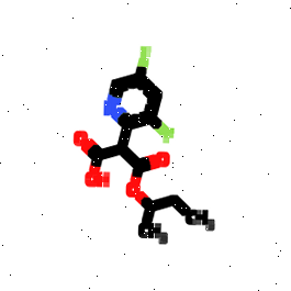 CCC(C)OC(=O)C(C(=O)O)c1ncc(F)cc1F